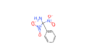 NC(c1ccccc1)([N+](=O)[O-])[N+](=O)[O-]